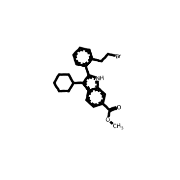 COC(=O)c1ccc2c(C3CCCCC3)c(-c3ccccc3CCBr)[nH]c2c1